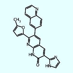 Cc1ccc(-c2nc3[nH]c(=O)c(-c4ncc[nH]4)cc3cc2-c2ccc3ncccc3c2)o1